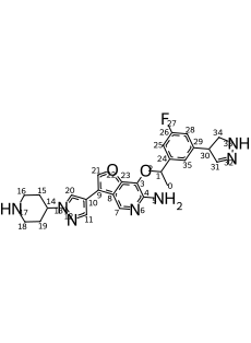 CC(Oc1c(N)ncc2c(-c3cnn(C4CCNCC4)c3)coc12)c1cc(F)cc(C2C=NNC2)c1